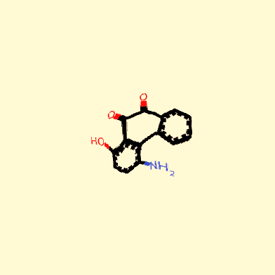 Nc1ccc(O)c2c1-c1ccccc1C(=O)C2=O